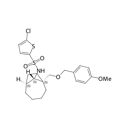 COc1ccc(COC[C@@]23CCCC[C@@H](CC2)[C@@H]3NS(=O)(=O)c2ccc(Cl)s2)cc1